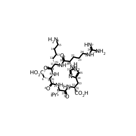 CC(C)[C@H](NC(=O)[C@H](CC(=O)O)NC(=O)[C@H](CCCCN)NC(=O)[C@@H](N)CCCNC(=N)N)C(=O)N[C@@H](Cc1c[nH]cn1)C(=O)O